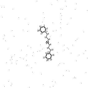 c1ccc(CCC[N]CCCc2ccccc2)cc1